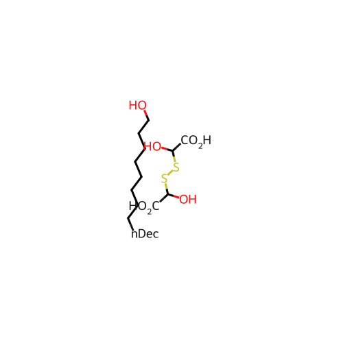 CCCCCCCCCCCCCCCCCCO.O=C(O)C(O)SSC(O)C(=O)O